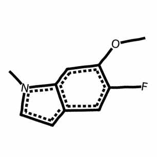 COc1cc2c(ccn2C)cc1F